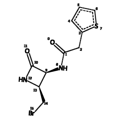 O=C(Cc1cccs1)N[C@@H]1C(=O)N[C@@H]1CBr